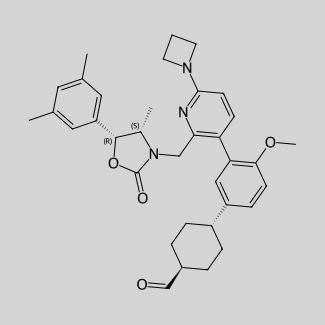 COc1ccc([C@H]2CC[C@H](C=O)CC2)cc1-c1ccc(N2CCC2)nc1CN1C(=O)O[C@H](c2cc(C)cc(C)c2)[C@@H]1C